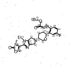 CCn1c(-c2noc(=O)n2C)nc2c1CN([C@H]1CO[C@H](c3cc(F)ccc3F)[C@@H](NC(=O)OC(C)(C)C)C1)C2